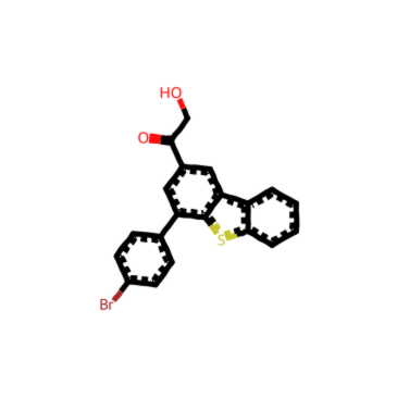 O=C(CO)c1cc(-c2ccc(Br)cc2)c2sc3ccccc3c2c1